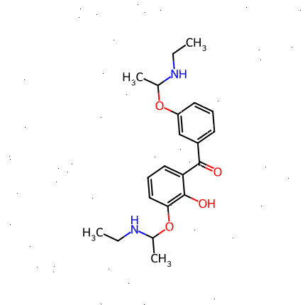 CCNC(C)Oc1cccc(C(=O)c2cccc(OC(C)NCC)c2O)c1